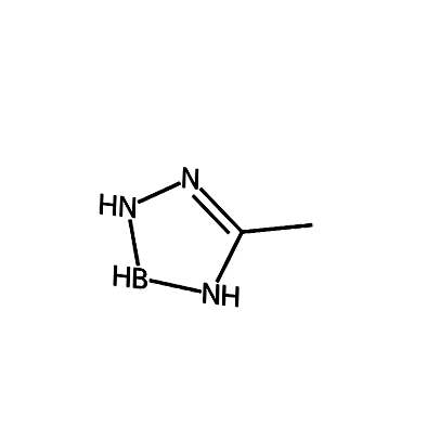 CC1=NNBN1